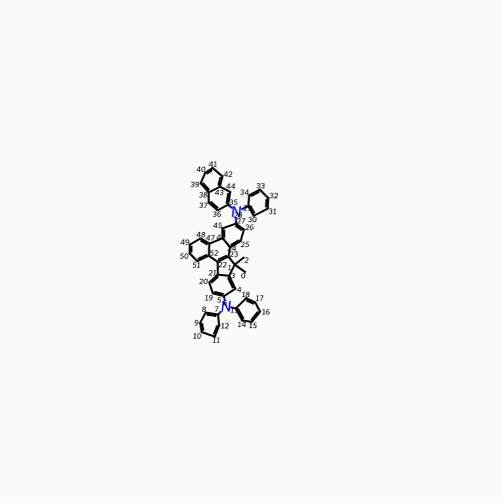 CC1(C)c2cc(N(c3ccccc3)c3ccccc3)ccc2-c2c1c1ccc(N(c3ccccc3)c3ccc4ccccc4c3)cc1c1ccccc21